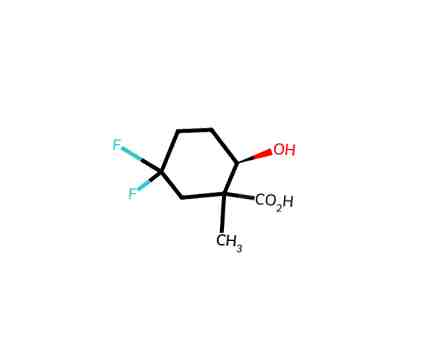 CC1(C(=O)O)CC(F)(F)CC[C@H]1O